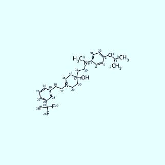 CC(C)Oc1ccc(N(C)CCC2(O)CCN(CCc3cccc(C(F)(F)F)c3)CC2)cc1